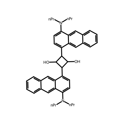 CCCN(CCC)c1ccc(C2C(O)C(c3ccc(N(CCC)CCC)c4cc5ccccc5cc34)C2O)c2cc3ccccc3cc12